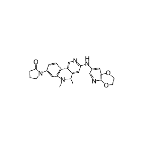 CC1c2cc(Nc3cnc4c(c3)OCCO4)ncc2-c2ccc(N3CCCC3=O)cc2N1C